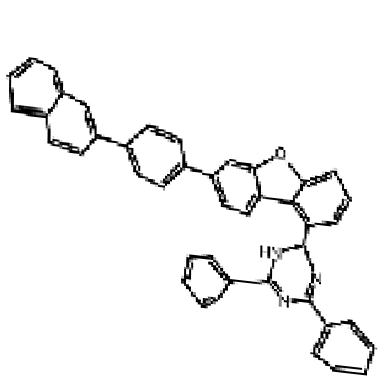 c1ccc(C2=NC(c3cccc4oc5cc(-c6ccc(-c7ccc8ccccc8c7)cc6)ccc5c34)NC(c3ccccc3)=N2)cc1